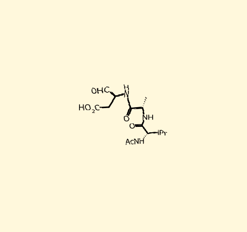 CC(=O)N[C@H](C(=O)N[C@@H](C)C(=O)NC(C=O)CC(=O)O)C(C)C